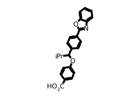 CC(C)C(Oc1ccc(C(=O)O)cc1)c1ccc(-c2nc3ccccc3o2)cc1